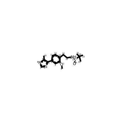 COc1cc(-c2scnc2C)ccc1CCN[S+]([O-])C(C)(C)C